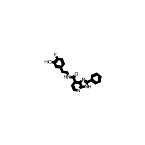 O=C(NCCc1ccc(F)c(O)c1)c1ccnc2[nH]c(-c3ccccc3)nc12